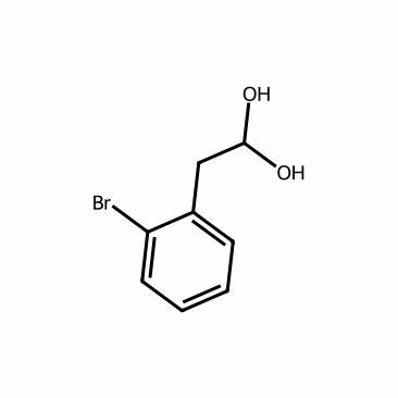 OC(O)Cc1ccccc1Br